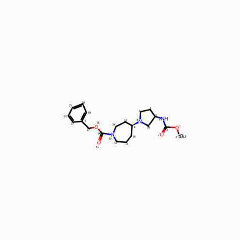 CC(C)(C)OC(=O)NC1CCN([C@H]2CCCN(C(=O)OCc3ccccc3)CC2)C1